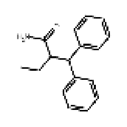 CCC(C(N)=O)C(c1ccccc1)c1ccccc1